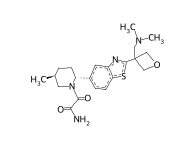 C[C@H]1CC[C@H](c2ccc3sc(C4(CN(C)C)COC4)nc3c2)N(C(=O)C(N)=O)C1